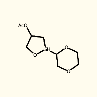 CC(=O)OC1CO[SH](C2COCCO2)C1